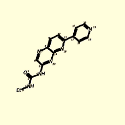 CCNC(=O)Nc1cnc2ccc(-c3ccncc3)nc2n1